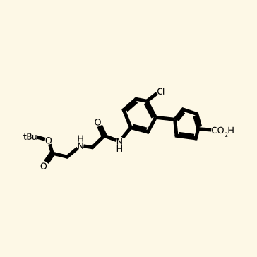 CC(C)(C)OC(=O)CNCC(=O)Nc1ccc(Cl)c(-c2ccc(C(=O)O)cc2)c1